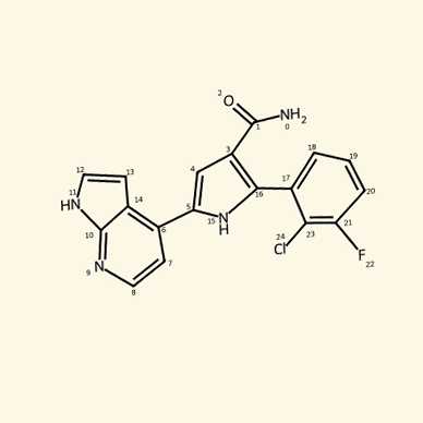 NC(=O)c1cc(-c2ccnc3[nH]ccc23)[nH]c1-c1cccc(F)c1Cl